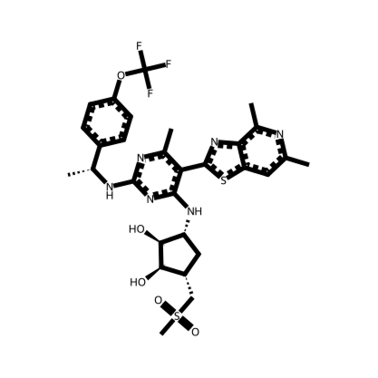 Cc1cc2sc(-c3c(C)nc(N[C@H](C)c4ccc(OC(F)(F)F)cc4)nc3N[C@@H]3C[C@H](CS(C)(=O)=O)[C@@H](O)[C@H]3O)nc2c(C)n1